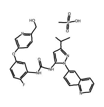 CC(C)c1cc(NC(=O)Nc2cc(Oc3ccc(CO)nc3)ccc2F)n(-c2ccc3ncccc3c2)n1.CS(=O)(=O)O